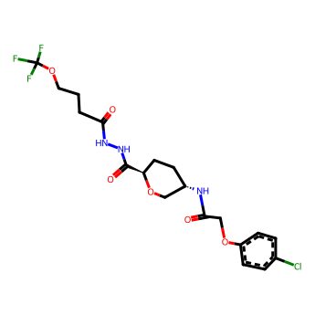 O=C(CCCOC(F)(F)F)NNC(=O)[C@H]1CC[C@H](NC(=O)COc2ccc(Cl)cc2)CO1